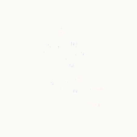 Cc1cccn1-c1cc(Nc2ccncc2C(=O)NC(CO)CO)c(N(C)C)[nH]c1=O